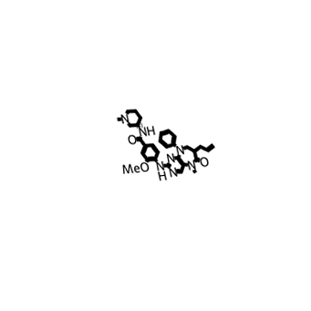 C=CCC1CN(c2ccccc2)c2nc(Nc3ccc(C(=O)N[C@@H]4CCCN(C)C4)cc3OC)ncc2N(C)C1=O